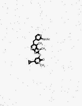 CC(=O)Nc1cc(Cc2cnc3nc(Oc4cc(C5CC5)cn(C)c4=O)n(C)c3c2C)ccn1